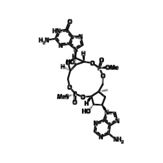 CO[P@@]1(=O)OC[C@@]2(C)C[C@@H](n3cnc4c(N)ncnc43)[C@H](O)[C@@H]2O[P@](=O)(SC)OC[C@H]2O[C@@H](n3cnc4c(=O)[nH]c(N)nc43)[C@H](O1)[C@@H]2O